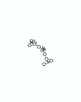 Cn1c2ccccc2c2cc(-c3ccc(-c4nnc(-c5ccc(-c6ccc7c(c6)c6ccccc6n7Cc6ccccc6)cc5)o4)cc3)ccc21